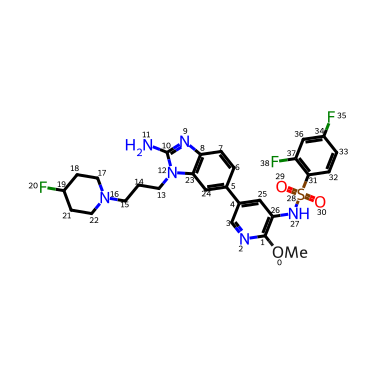 COc1ncc(-c2ccc3nc(N)n(CCCN4CCC(F)CC4)c3c2)cc1NS(=O)(=O)c1ccc(F)cc1F